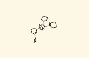 N#Cc1cccc(-c2cnc(-c3ccccc3)c(-c3ccccc3)n2)c1